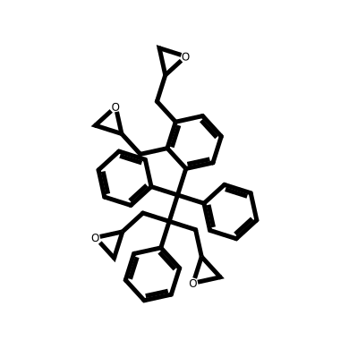 c1ccc(C(CC2CO2)(CC2CO2)C(c2ccccc2)(c2ccccc2)c2cccc(CC3CO3)c2CC2CO2)cc1